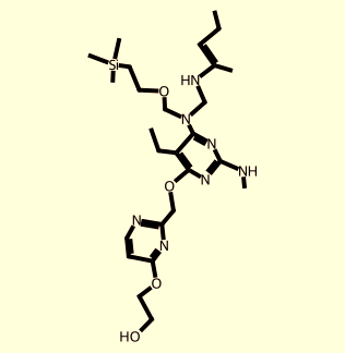 CC/C=C(\C)NCN(COCC[Si](C)(C)C)c1nc(NC)nc(OCc2nccc(OCCO)n2)c1CC